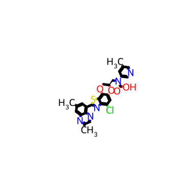 Cc1cncc(N(C[C@@H]2COc3c(cc(Cl)c4nc(-c5cc(C)cc6nc(C)cnc56)sc34)O2)C(=O)O)c1